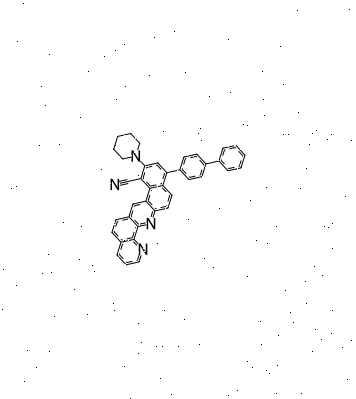 N#Cc1c(N2CCCCC2)cc(-c2ccc(-c3ccccc3)cc2)c2ccc3nc4c(ccc5cccnc54)cc3c12